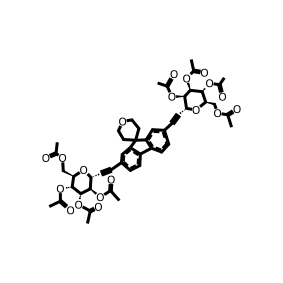 CC(=O)OC[C@H]1O[C@H](C#Cc2ccc3c(c2)C2(CCOCC2)c2cc(C#C[C@H]4O[C@H](COC(C)=O)[C@@H](OC(C)=O)[C@@H](OC(C)=O)[C@@H]4OC(C)=O)ccc2-3)[C@@H](OC(C)=O)[C@@H](OC(C)=O)[C@@H]1OC(C)=O